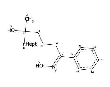 CCCCCCCC(C)(O)CCCC(=NO)c1ccccc1